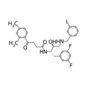 Cc1ccc(C(=O)CCC(=O)N[C@@H](Cc2cc(F)cc(F)c2)[C@@H](O)CNCc2cccc(I)c2)c(C)c1